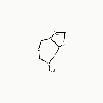 CC(C)(C)N1CCCN2N=CSC2C1